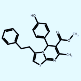 COC(=O)C1=C(C)N=C2SC=C(CCc3ccccc3)N2C1c1ccc(O)cc1